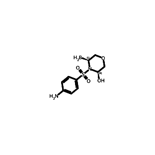 B[C@H]1COC[C@@H](O)N1S(=O)(=O)c1ccc(N)cc1